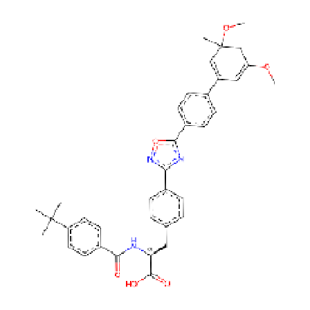 COC1=CC(c2ccc(-c3nc(-c4ccc(C[C@H](NC(=O)c5ccc(C(C)(C)C)cc5)C(=O)O)cc4)no3)cc2)=CC(C)(OC)C1